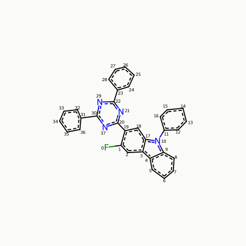 Fc1cc2c3ccccc3n(-c3ccccc3)c2cc1-c1nc(-c2ccccc2)nc(-c2ccccc2)n1